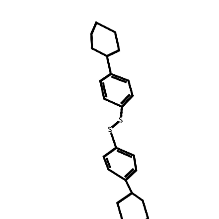 c1cc(C2CCCCC2)ccc1SSc1ccc(C2CCCCC2)cc1